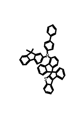 CC1(C)c2ccccc2-c2ccc(N(c3ccc(-c4ccccc4)cc3)c3cccc4c3-c3ccccc3C43c4ccccc4-c4c3sc3ccccc43)cc21